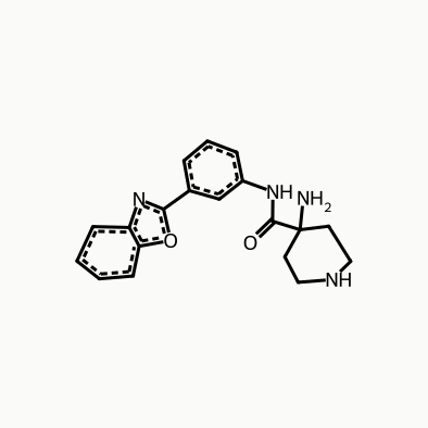 NC1(C(=O)Nc2cccc(-c3nc4ccccc4o3)c2)CCNCC1